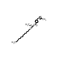 CCCCCCCCCCCCCCCCOCC(COC(=O)c1ccc(C[n+]2csc(C)c2)cc1)OCC